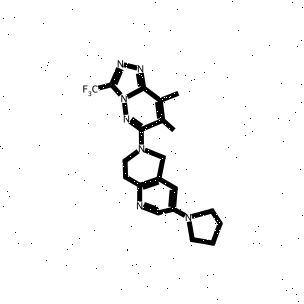 Cc1c(N2CCc3ncc(N4CCCC4)cc3C2)nn2c(C(F)(F)F)nnc2c1C